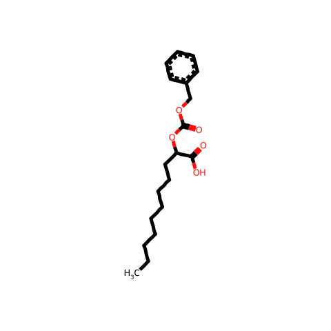 CCCCCCCCCC(OC(=O)OCc1ccccc1)C(=O)O